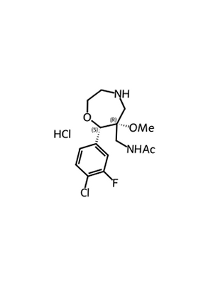 CO[C@@]1(CNC(C)=O)CNCCO[C@H]1c1ccc(Cl)c(F)c1.Cl